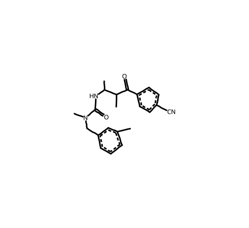 Cc1cccc(CN(C)C(=O)NC(C)C(C)C(=O)c2ccc(C#N)cc2)c1